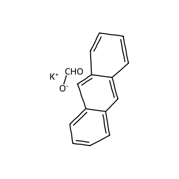 O=C[O-].[K+].c1ccc2cc3ccccc3cc2c1